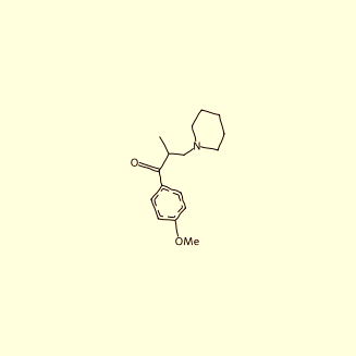 COc1ccc(C(=O)C(C)CN2CCCCC2)cc1